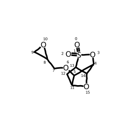 O=S1(=O)OC2C(OCC3CO3)C3CC1C2O3